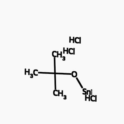 CC(C)(C)[O][Sn].Cl.Cl.Cl